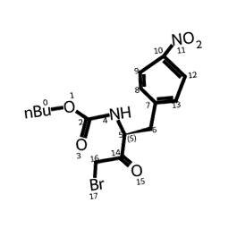 CCCCOC(=O)N[C@@H](Cc1ccc([N+](=O)[O-])cc1)C(=O)CBr